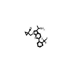 CC(N)c1cn(CC2(C#N)CC2)c2nc(-c3ccccc3C(F)(F)F)ccc12